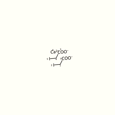 O=C([O-])CI.O=C([O-])CI.[Ca+2]